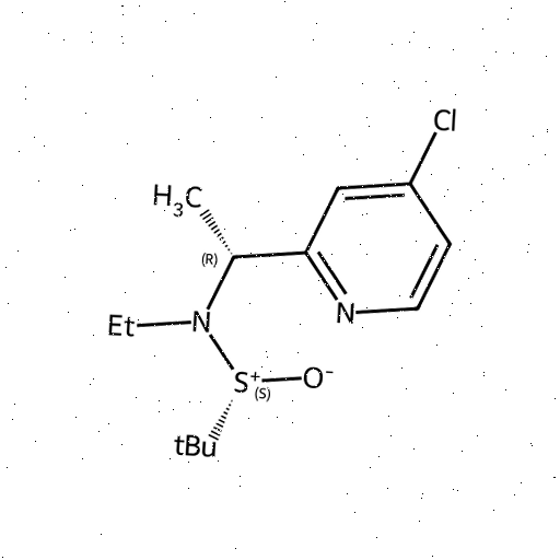 CCN([C@H](C)c1cc(Cl)ccn1)[S@+]([O-])C(C)(C)C